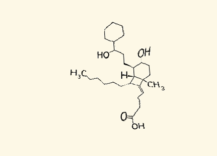 CCCCCCC1C(=CCCC(=O)O)[C@@]2(C)CC[C@@H](O)[C@H](CCC(O)C3CCCCC3)[C@@H]12